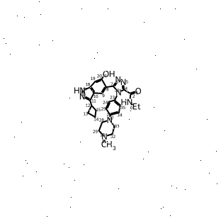 CCNC(=O)c1nnc(-c2cc3c(C4CCC4)n[nH]c3cc2O)n1-c1ccc(N2CCN(C)CC2)cc1